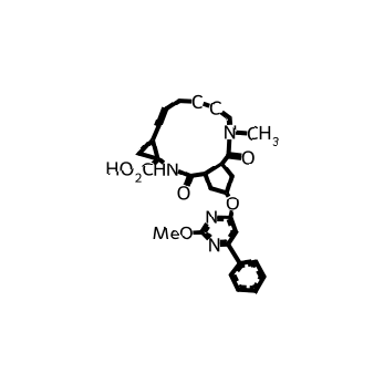 COc1nc(OC2CC3C(=O)NC4(C(=O)O)CC4C=CCCCCN(C)C(=O)C3C2)cc(-c2ccccc2)n1